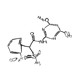 COc1nc(C)nc(NC(=O)C(c2ccccc2C(=O)O)S(N)(=O)=O)n1